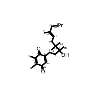 CC1=C(C)C(=O)C(CCC(C)(O)C(C)(C)C/C=C(\C)CC(C)C)=CC1=O